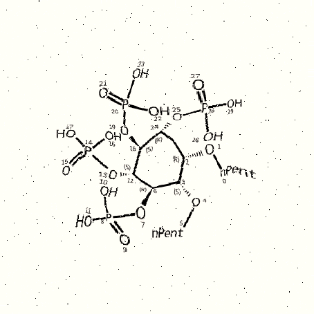 CCCCCO[C@@H]1[C@H](OCCCCC)[C@@H](OP(=O)(O)O)[C@H](OP(=O)(O)O)[C@@H](OP(=O)(O)O)[C@@H]1OP(=O)(O)O